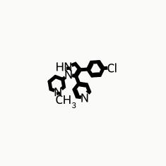 CN1CCCC(N2NCC(c3ccc(Cl)cc3)=C2c2ccncc2)C1